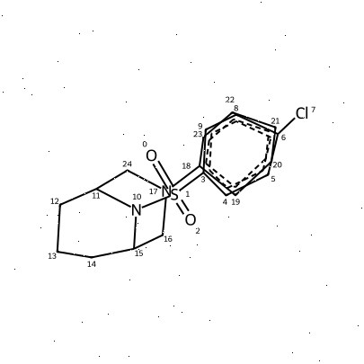 O=S(=O)(c1ccc(Cl)cc1)N1C2CCCC1CN(c1ccccc1)C2